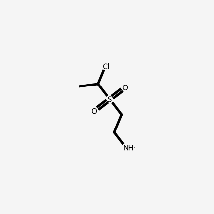 CC(Cl)S(=O)(=O)CC[NH]